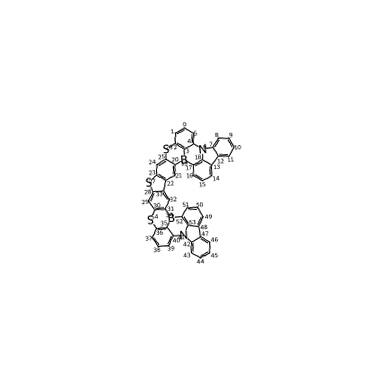 c1cc2c3c(c1)-n1c4ccccc4c4cccc(c41)B3c1cc3c(cc1S2)sc1cc2c(cc13)B1c3c(cccc3-n3c4ccccc4c4cccc1c43)S2